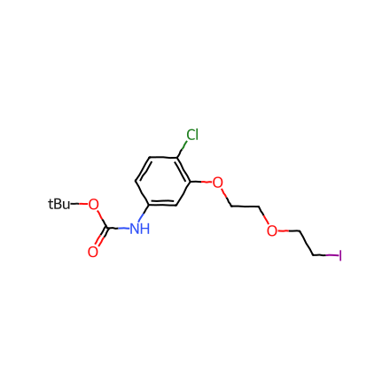 CC(C)(C)OC(=O)Nc1ccc(Cl)c(OCCOCCI)c1